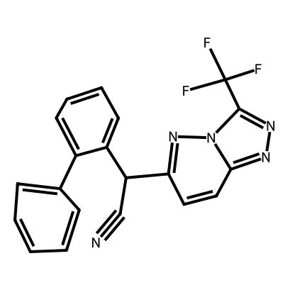 N#CC(c1ccc2nnc(C(F)(F)F)n2n1)c1ccccc1-c1ccccc1